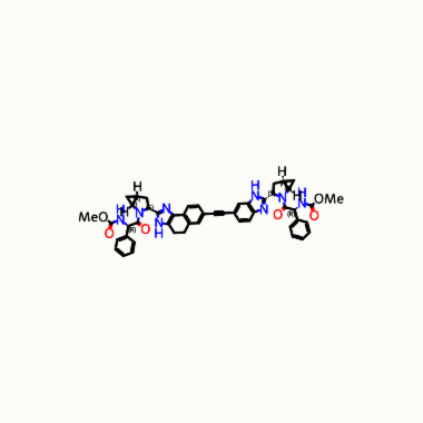 COC(=O)N[C@@H](C(=O)N1[C@@H]2C[C@@H]2C[C@H]1c1nc2c([nH]1)CCc1cc(C#Cc3ccc4nc([C@@H]5C[C@H]6C[C@H]6N5C(=O)[C@H](NC(=O)OC)c5ccccc5)[nH]c4c3)ccc1-2)c1ccccc1